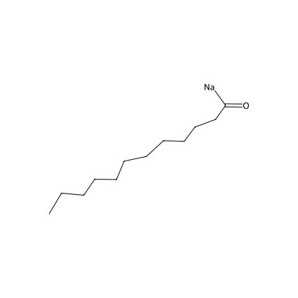 CCCCCCCCCCC[C](=O)[Na]